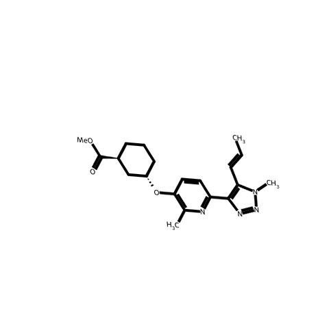 C/C=C/c1c(-c2ccc(O[C@H]3CCC[C@H](C(=O)OC)C3)c(C)n2)nnn1C